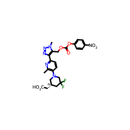 Cc1nc(-c2nnn(C)c2COC(=O)Oc2ccc([N+](=O)[O-])cc2)ccc1N1C[C@@H](CC(=O)O)CC(F)(F)C1